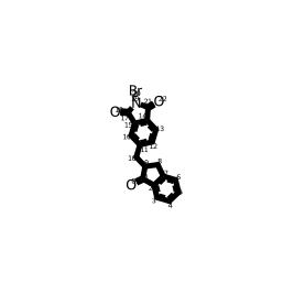 O=C1c2ccccc2CC1Cc1ccc2c(c1)C(=O)N(Br)C2=O